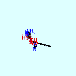 CCCCCCCCCCCCCCOC[C@H](COP(=O)(O)OC[C@@]1(C)OC[C@](O)(c2ccc3c(N)ncnn23)[C@@H]1O)Oc1cc(C#N)ccn1